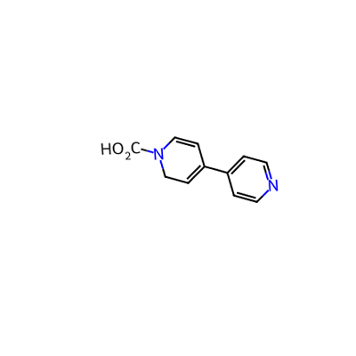 O=C(O)N1C=CC(c2ccncc2)=CC1